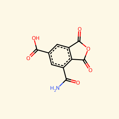 NC(=O)c1cc(C(=O)O)cc2c1C(=O)OC2=O